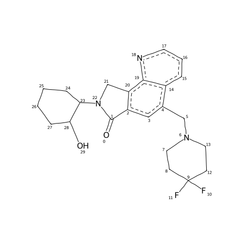 O=C1c2cc(CN3CCC(F)(F)CC3)c3cccnc3c2CN1C1CCCCC1O